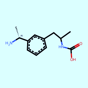 CC(Cc1cccc([C@@H](C)N)c1)NC(=O)O